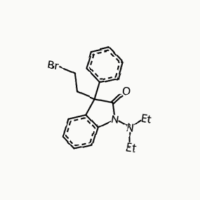 CCN(CC)N1C(=O)C(CCBr)(c2ccccc2)c2ccccc21